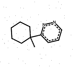 CC1(c2cccnn2)CCCCC1